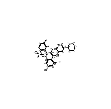 Cc1ccc(S(C)(=O)=O)c(-c2nc3cc(F)cc(F)c3c(Nc3cncc(N4CCOCC4)c3)c2C)c1